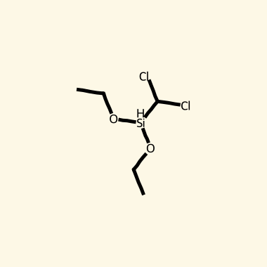 CCO[SiH](OCC)C(Cl)Cl